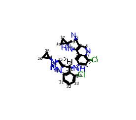 [2H]C(Nc1cc(Cl)c2ncc(C#N)c(NC3(C)CC3)c2c1)(c1cn(C2CC2)nn1)c1ccccc1Cl